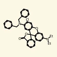 CCN(CC)c1ccc2c(c1)Oc1cc(Cl)c(N(Cc3ccccc3)Cc3ccccc3)cc1C21OC(=O)c2ccccc21